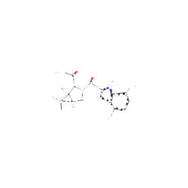 COC(=O)[C@@H]1[C@@H]2[C@H](CN1C(=O)c1cc3c(F)ccc(F)c3[nH]1)C2(C)C